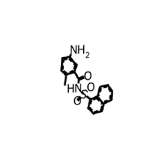 Cc1ccc(N)cc1C(=O)NS(=O)(=O)c1cccc2ccccc12